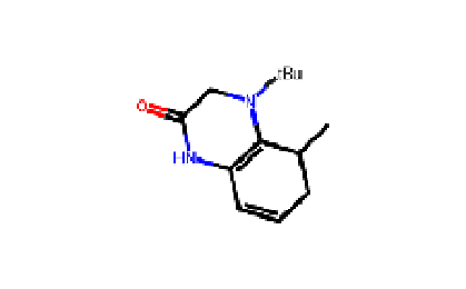 CC1CC=CC2=C1N(C(C)(C)C)CC(=O)N2